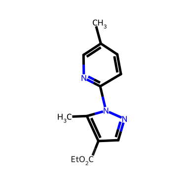 CCOC(=O)c1cnn(-c2ccc(C)cn2)c1C